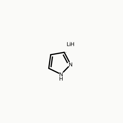 [LiH].[c]1cc[nH]n1